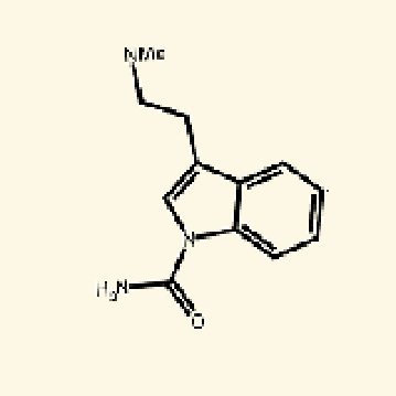 CNCCc1cn(C(N)=O)c2cc[c]cc12